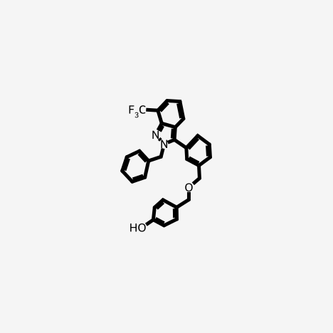 Oc1ccc(COCc2cccc(-c3c4cccc(C(F)(F)F)c4nn3Cc3ccccc3)c2)cc1